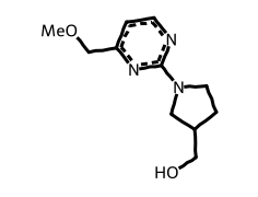 COCc1ccnc(N2CCC(CO)C2)n1